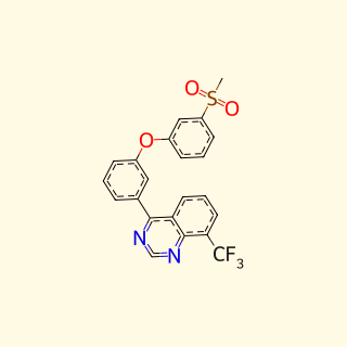 CS(=O)(=O)c1cccc(Oc2cccc(-c3ncnc4c(C(F)(F)F)cccc34)c2)c1